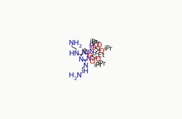 CCC(Nc1nc(NCCN)nc(NCCN)n1)([Si](OC(C)C)(OC(C)C)OC(C)C)[Si](OC(C)C)(OC(C)C)OC(C)C